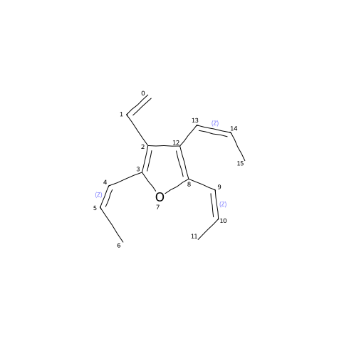 C=Cc1c(/C=C\C)oc(/C=C\C)c1/C=C\C